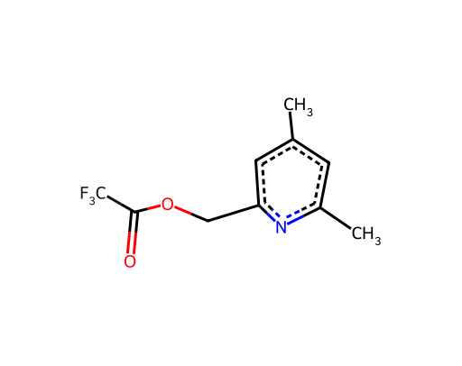 Cc1cc(C)nc(COC(=O)C(F)(F)F)c1